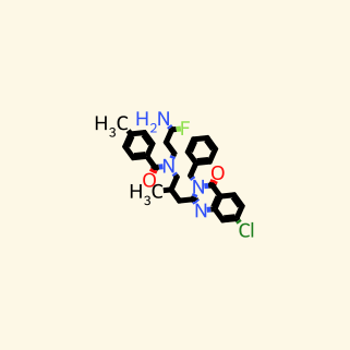 Cc1ccc(C(=O)N(CCC(N)F)CC(C)Cc2nc3cc(Cl)ccc3c(=O)n2Cc2ccccc2)cc1